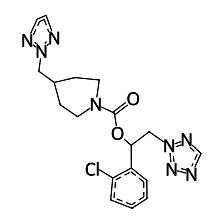 O=C(OC(Cn1ncnn1)c1ccccc1Cl)N1CCC(Cn2nccn2)CC1